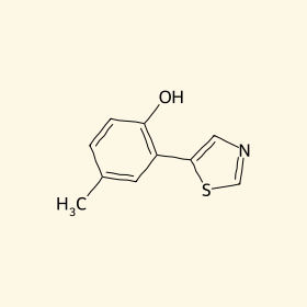 Cc1ccc(O)c(-c2cncs2)c1